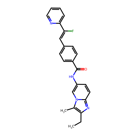 CCc1nc2ccc(NC(=O)c3ccc(C=C(F)c4ccccn4)cc3)cn2c1C